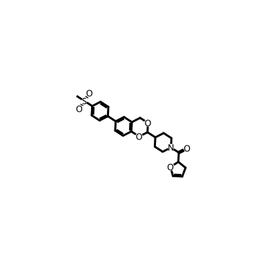 CS(=O)(=O)c1ccc(-c2ccc3c(c2)COC(C2CCN(C(=O)C4CC=CO4)CC2)O3)cc1